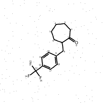 O=C1CCCCCC1Cc1ccc(C(F)(F)F)cc1